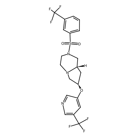 O=S(=O)(c1cccc(C(F)(F)F)c1)N1CCN2C[C@H](Oc3cncc(C(F)(F)F)c3)C[C@H]2C1